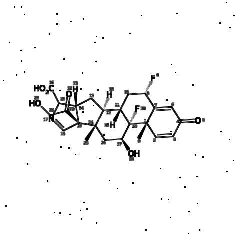 C[C@]12C=CC(=O)C=C1[C@@H](F)C[C@H]1[C@@H]3C[C@H]4C(C(=O)O)N=C[C@@]4(C(=O)CO)[C@@]3(C)C[C@H](O)[C@@]12F